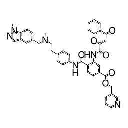 CN(CCc1ccc(NC(=O)c2ccc(C(=O)OCc3cccnc3)cc2NC(=O)c2cc(=O)c3ccccc3o2)cc1)Cc1ccc2c(cnn2C)c1